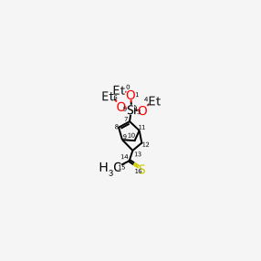 CCO[Si](OCC)(OCC)C1=CC2CC1CC2C(C)=S